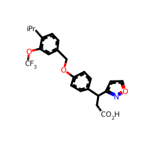 CC(C)c1ccc(COc2ccc(C(CC(=O)O)c3ccon3)cc2)cc1OC(F)(F)F